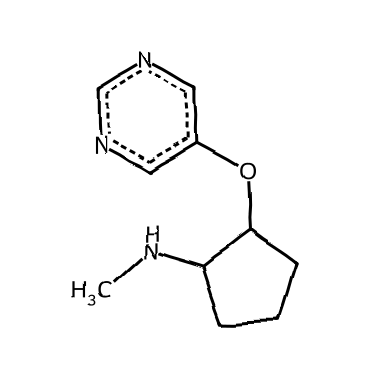 CNC1CCCC1Oc1cncnc1